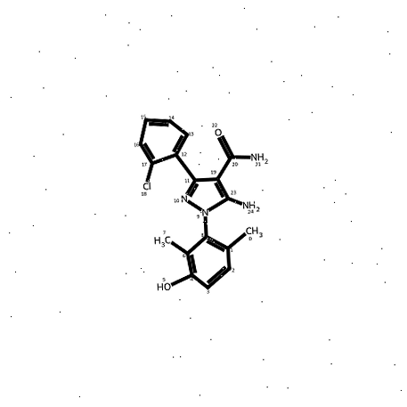 Cc1ccc(O)c(C)c1-n1nc(-c2ccccc2Cl)c(C(N)=O)c1N